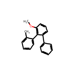 COc1[c]ccc(-c2ccccc2)c1-c1ccccc1C